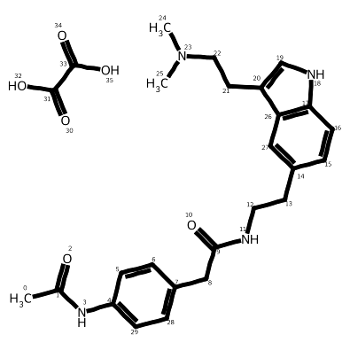 CC(=O)Nc1ccc(CC(=O)NCCc2ccc3[nH]cc(CCN(C)C)c3c2)cc1.O=C(O)C(=O)O